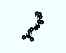 c1ccc(-c2cc(-c3ccccc3)nc(-c3ccc4ccc(-c5ccc6ccc(-c7ccc(-c8ccc9ccc%10cccnc%10c9n8)c8ccccc78)nc6c5)cc4n3)n2)cc1